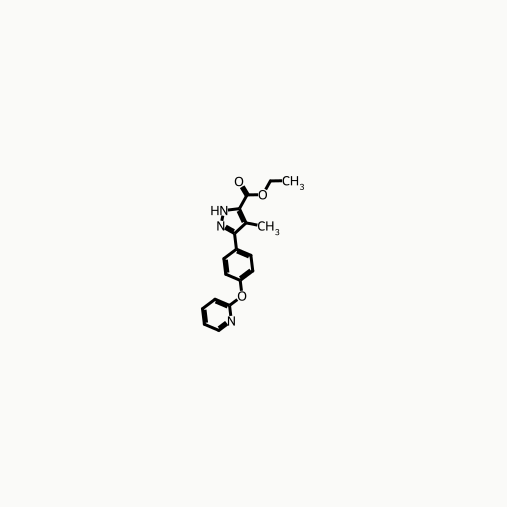 CCOC(=O)c1[nH]nc(-c2ccc(Oc3ccccn3)cc2)c1C